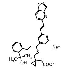 CC(C)(O)c1ccccc1CC[C@@H](SCC1(CC(=O)[O-])CC1)c1cccc(C=Cc2ccc3sccc3n2)c1.[Na+]